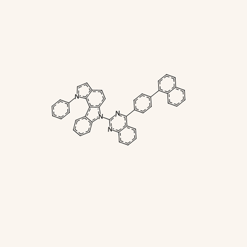 c1ccc(-n2ccc3ccc4c(c5ccccc5n4-c4nc(-c5ccc(-c6cccc7ccccc67)cc5)c5ccccc5n4)c32)cc1